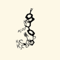 COC(=O)C(Cc1cc2cc(C#N)ccc2[nH]1)c1ccc(O[C@H]2CCN(OC(C)(C)C)C2=C=O)cc1